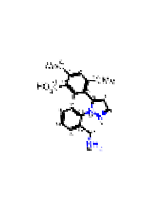 COc1cc(OC)c(-c2ccnn2-c2ccccc2CN)cc1C(=O)O